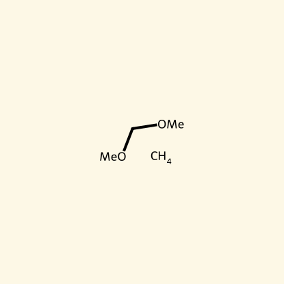 C.COCOC